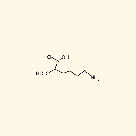 NCCCCC(C(=O)O)N(O)Cl